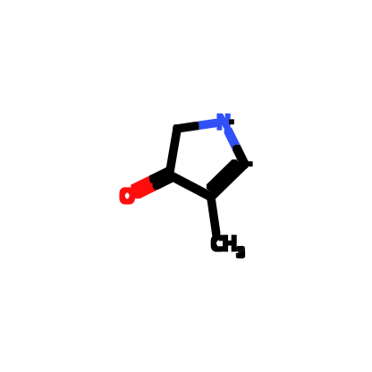 CC1=[C][N]CC1=O